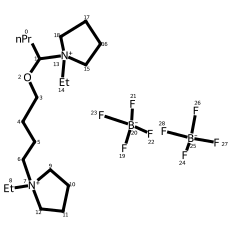 CCCC(OCCCC[N+]1(CC)CCCC1)[N+]1(CC)CCCC1.F[B-](F)(F)F.F[B-](F)(F)F